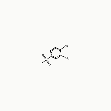 CS(=O)(=O)c1ccc(C#N)c(C(F)(F)F)c1